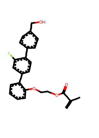 C=C(C)C(=O)OCCOc1ccccc1-c1ccc(-c2ccc(CO)cc2)c(F)c1